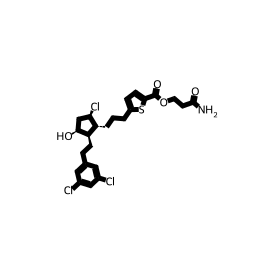 NC(=O)CCOC(=O)c1ccc(CCC[C@@H]2[C@@H](CCc3cc(Cl)cc(Cl)c3)[C@H](O)C[C@H]2Cl)s1